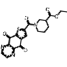 CCOC(=O)C1CCCN(C(=O)c2cc3c(s2)C(=O)c2nccnc2C3=O)C1